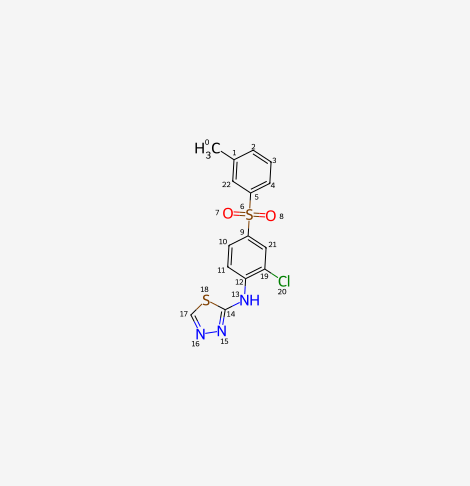 Cc1cccc(S(=O)(=O)c2ccc(Nc3nncs3)c(Cl)c2)c1